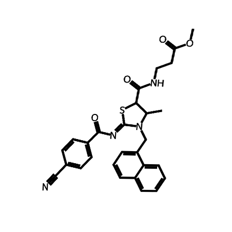 COC(=O)CCNC(=O)C1SC(=NC(=O)c2ccc(C#N)cc2)N(Cc2cccc3ccccc23)C1C